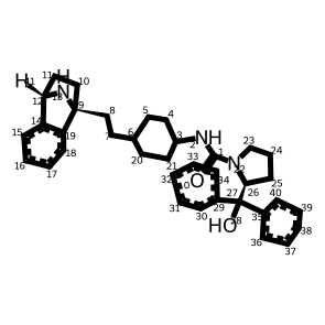 O=C(NC1CCC(CC[C@]23CC[C@H](N2)c2ccccc23)CC1)N1CCC[C@H]1C(O)(c1ccccc1)c1ccccc1